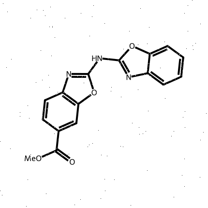 COC(=O)c1ccc2nc(Nc3nc4ccccc4o3)oc2c1